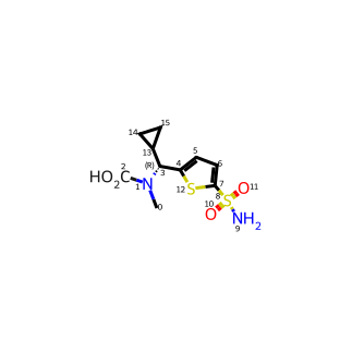 CN(C(=O)O)[C@@H](c1ccc(S(N)(=O)=O)s1)C1CC1